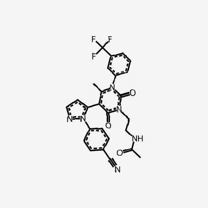 CC(=O)NCCn1c(=O)c(-c2ccnn2-c2ccc(C#N)cc2)c(C)n(-c2cccc(C(F)(F)F)c2)c1=O